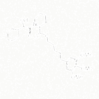 COc1cc(CCCCCOC(=O)C2CCCCN2C(=O)C(O)C2CCCCC2)cc(OC)c1OC